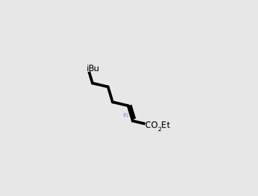 CCOC(=O)/C=C/CCCC(C)CC